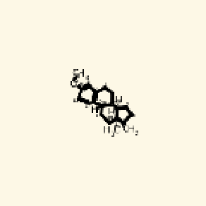 C=C1CC[C@@H]2[C@@H]3CCc4cc(OC)ccc4[C@H]3CC[C@]12C